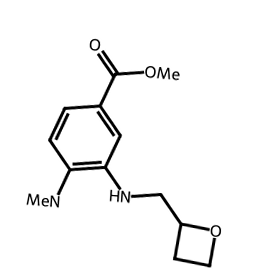 CNc1ccc(C(=O)OC)cc1NCC1CCO1